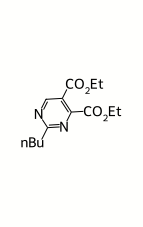 CCCCc1ncc(C(=O)OCC)c(C(=O)OCC)n1